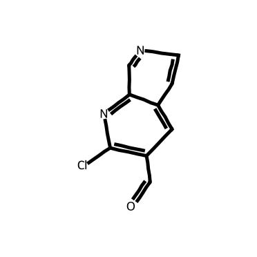 O=Cc1cc2ccncc2nc1Cl